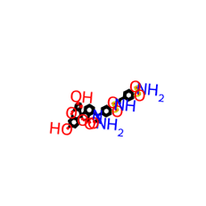 NC(=O)N(c1ccc(S(=O)(=O)NCc2ccc(S(N)(=O)=O)cc2)cc1)c1cccc2c1C(=O)OC21c2ccc(O)cc2Oc2cc(O)ccc21